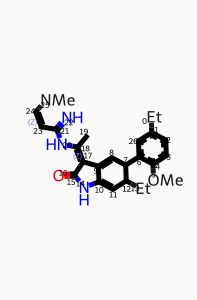 CCc1ccc(OC)c(C2C=C3C(=CC2CC)NC(=O)/C3=C(/C)NC(=N)/C=C\NC)c1